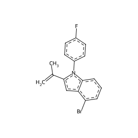 C=C(C)c1cc2c(Br)cccc2n1-c1ccc(F)cc1